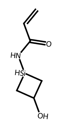 C=CC(=O)N[SiH]1CC(O)C1